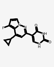 O=c1[nH]cc(-c2cc(C3CC3)c3c(F)ccn3n2)c(=O)[nH]1